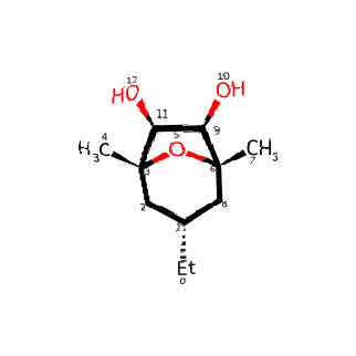 CC[C@@H]1C[C@@]2(C)O[C@@](C)(C1)[C@H](O)[C@@H]2O